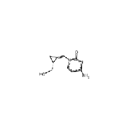 Nc1ccn(/C=C2/C[C@H]2CO)c(=O)n1